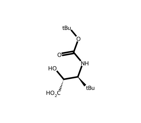 CC(C)(C)OC(=O)N[C@H]([C@@H](O)C(=O)O)C(C)(C)C